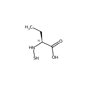 CC[C@H](NS)C(=O)O